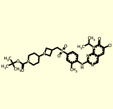 Cc1cc(S(=O)(=O)CC2CN(C3CCN(C(=O)OC(C)(C)C)CC3)C2)ccc1Nc1ncc2cc(Cl)c(=O)n(C(C)C)c2n1